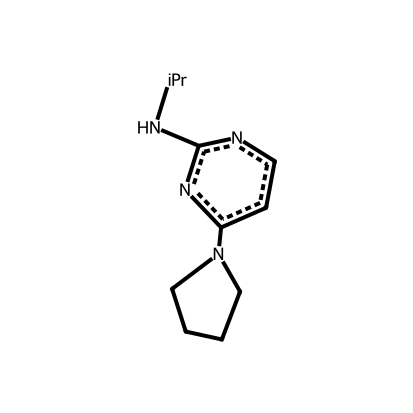 CC(C)Nc1nccc(N2CCCC2)n1